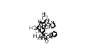 Cc1nc(-c2ncccn2)sc1C(=O)NCC(O)(c1cc(C(C)(C)NC(=O)OCc2ccccc2)cc(Cl)n1)C(F)(F)F